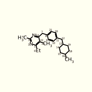 CCc1nc(C)nc(Cc2ccc(CC3CCC(C)CC3)cc2)c1C